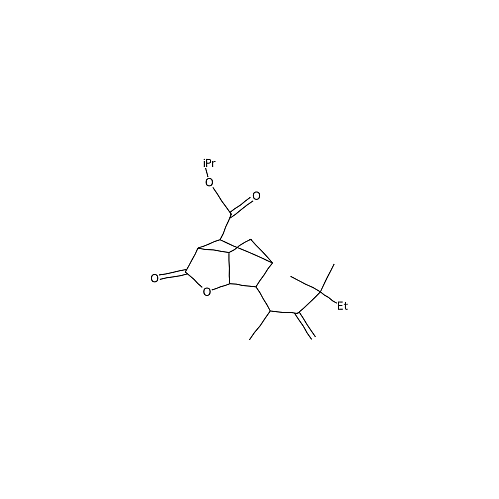 C=C(C(C)C1C2CC3C1OC(=O)C3C2C(=O)OC(C)C)C(C)(C)CC